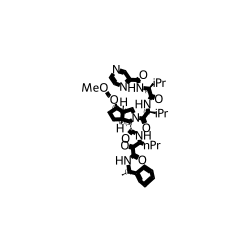 CCCC(NC(=O)[C@@H]1[C@H]2CC[C@@H](OCOC)[C@H]2CN1C(=O)[C@@H](NC(=O)[C@@H](NC(=O)c1cnccn1)C(C)C)C(C)C)C(=O)C(=O)N[C@@H](C)c1ccccc1